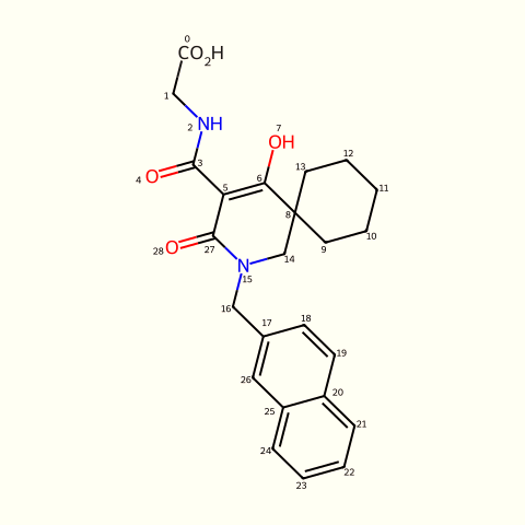 O=C(O)CNC(=O)C1=C(O)C2(CCCCC2)CN(Cc2ccc3ccccc3c2)C1=O